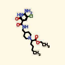 CCCCC(C(=O)OCC)N1CCC(CNC(=O)c2cc(Cl)c(N)[nH]c2=O)CC1